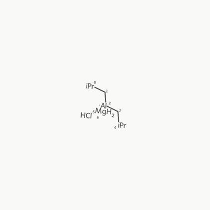 CC(C)[CH2][Al][CH2]C(C)C.Cl.[MgH2]